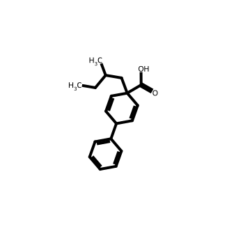 CCC(C)CC1(C(=O)O)C=CC(c2ccccc2)C=C1